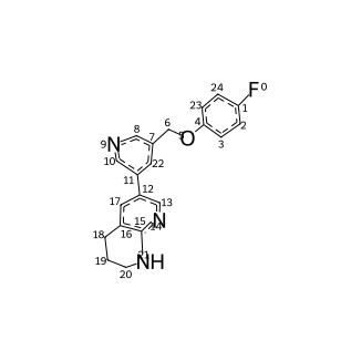 Fc1ccc(OCc2cncc(-c3cnc4c(c3)CCCN4)c2)cc1